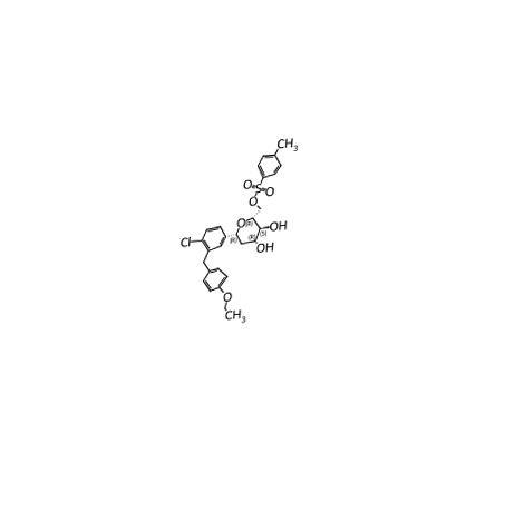 CCOc1ccc(Cc2cc([C@H]3C[C@@H](O)[C@H](O)[C@@H](COS(=O)(=O)c4ccc(C)cc4)O3)ccc2Cl)cc1